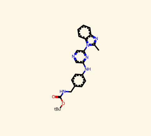 Cc1nc2ccccc2n1-c1cncc(Nc2ccc(CNC(=O)OC(C)(C)C)cc2)n1